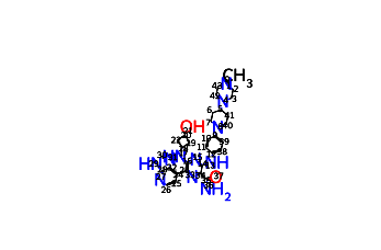 CN1CCN(C2CCN(c3ccc(Nc4nc(N[C@H]5C[C@H](O)C5)c(-c5ccnc6[nH]cnc56)nc4C(N)=O)cc3)CC2)CC1